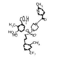 Cc1c(C(=O)O)cccc1C(=O)O.Cc1ccc(C(=O)N2CCN(S(=O)(=O)CC=Cc3ccc(C(F)(F)F)cc3C)CC2)cn1.Cl